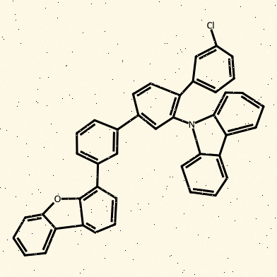 Clc1cccc(-c2ccc(-c3cccc(-c4cccc5c4oc4ccccc45)c3)cc2-n2c3ccccc3c3ccccc32)c1